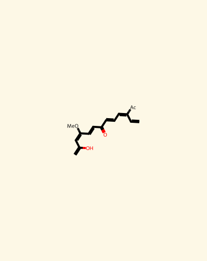 C=C/C(=C\C=C\C(=O)/C=C/C(=C\C(=C)O)OC)C(C)=O